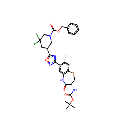 CC(C)(C)OC(=O)N[C@H]1CSc2cc(F)c(-c3noc(C4CN(C(=O)OCc5ccccc5)CC(F)(F)C4)n3)cc2NC1=O